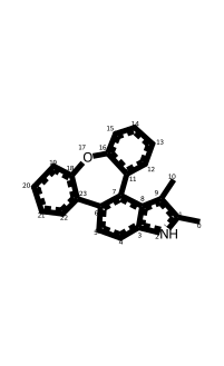 Cc1[nH]c2ccc3c(c2c1C)-c1ccccc1Oc1ccccc1-3